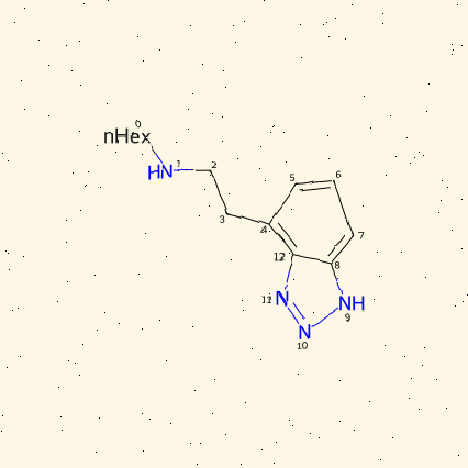 CCCCCCNCCc1cccc2[nH]nnc12